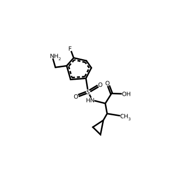 CC(C1CC1)C(NS(=O)(=O)c1ccc(F)c(CN)c1)C(=O)O